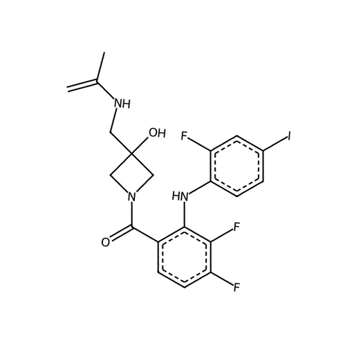 C=C(C)NCC1(O)CN(C(=O)c2ccc(F)c(F)c2Nc2ccc(I)cc2F)C1